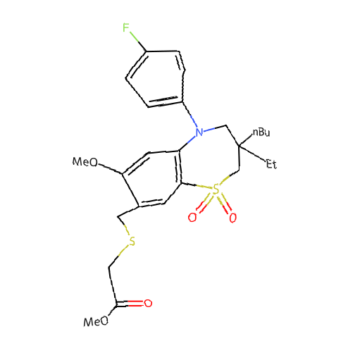 CCCCC1(CC)CN(c2ccc(F)cc2)c2cc(OC)c(CSCC(=O)OC)cc2S(=O)(=O)C1